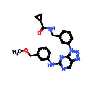 COCc1cccc(Nc2ncc3nnn(-c4cccc(CNC(=O)C5CC5)c4)c3n2)c1